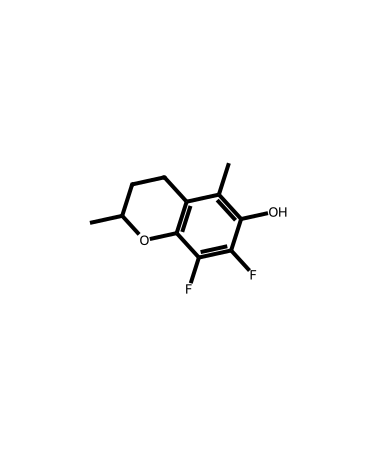 Cc1c(O)c(F)c(F)c2c1CCC(C)O2